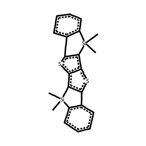 C[Si]1(C)c2ccccc2-c2sc3c4c(sc3c21)-c1ccccc1[Si]4(C)C